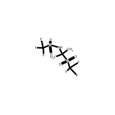 CC(C)(NS(=O)(=O)C(F)(F)F)S(=O)(=O)C(F)(F)F